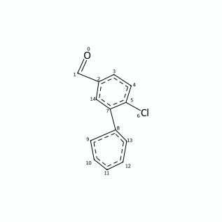 O=Cc1ccc(Cl)c(-c2ccccc2)c1